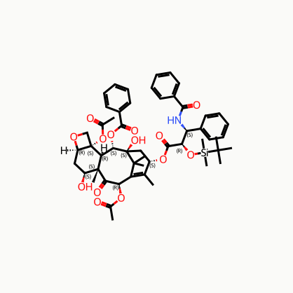 CC(=O)O[C@H]1C(=O)[C@@]2(C)[C@H]([C@H](OC(=O)c3ccccc3)[C@]3(O)C[C@H](OC(=O)[C@H](O[Si](C)(C)C(C)(C)C)[C@@H](NC(=O)c4ccccc4)c4ccccc4)C(C)=C1C3(C)C)[C@]1(OC(C)=O)CO[C@@H]1C[C@@H]2O